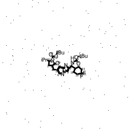 CC(C)C1CC(Cc2cnn3cc([C@@H](NC(=O)OC(C)(C)C)C4CCC(F)(F)CC4)nc3c2)C(=O)N1C(=O)OC(C)(C)C